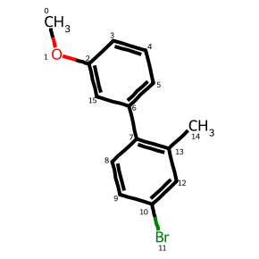 COc1cccc(-c2ccc(Br)cc2C)c1